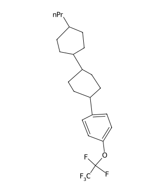 CCCC1CCC(C2CCC(c3ccc(OC(F)(F)C(F)(F)F)cc3)CC2)CC1